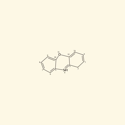 C1=CCC2=[SiH]c3ccccc3OC2=C1